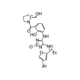 CC[C@@H](Nc1n[s+]([O-])nc1Nc1cccc(C(=O)N2CCC[C@H]2CO)c1O)c1cc(C(C)C)co1